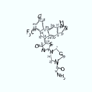 NCC(=O)N1CCCN(C2=NC(=O)C(=C(Cc3ccc(Cl)cc3C(F)(F)F)c3ccc4[nH]ncc4c3)S2)CC1